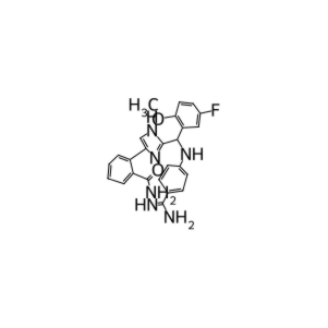 COc1ccc(F)cc1C(Nc1ccc(C(=N)N)cc1)c1nc(-c2ccccc2C(N)=O)c[nH]1